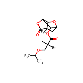 CCC(C)(COC(C(F)(F)F)C(F)(F)F)C(=O)OC1C2CC3(C(F)(F)F)C(=O)OC1C3O2